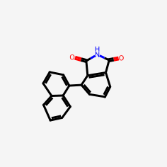 O=C1NC(=O)c2c1cccc2-c1cccc2ccccc12